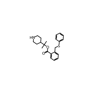 CC(C)(OC(=O)c1ccccc1CSc1ccccc1)C1CCNCC1